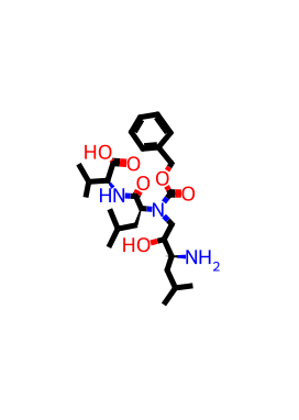 CC(C)C[C@H](N)C(O)CN(C(=O)OCc1ccccc1)[C@@H](CC(C)C)C(=O)N[C@H](C(=O)O)C(C)C